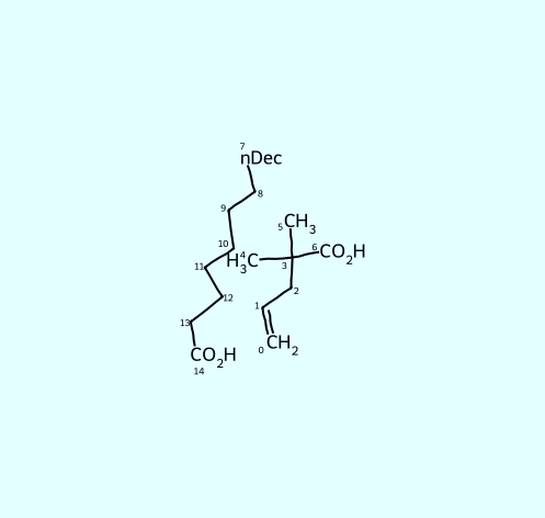 C=CCC(C)(C)C(=O)O.CCCCCCCCCCCCCCCCC(=O)O